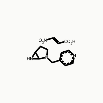 O=C(O)C=C[N+](=O)[O-].c1cc(CN2CCC3NC32)ccn1